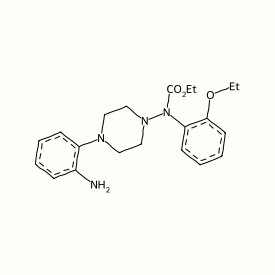 CCOC(=O)N(c1ccccc1OCC)N1CCN(c2ccccc2N)CC1